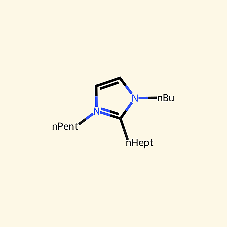 CCCCCCCc1n(CCCC)cc[n+]1CCCCC